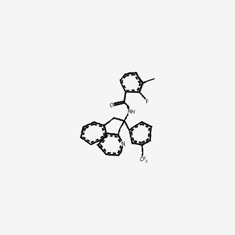 Cc1cccc(C(=O)NC(Cc2ccccc2)(c2cccc(C(F)(F)F)c2)c2ccccn2)c1F